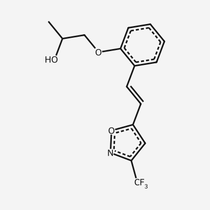 CC(O)COc1ccccc1C=Cc1cc(C(F)(F)F)no1